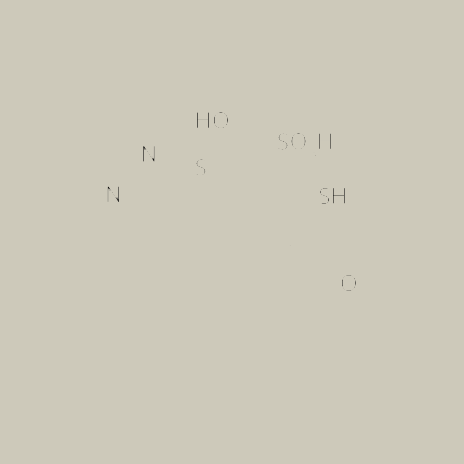 O=C(S)c1cccc2nnsc12.O=S(=O)(O)O